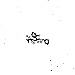 CC(C#N)(CC[C@@](N)(COCc1ccccc1)c1ccccc1F)C1CC1